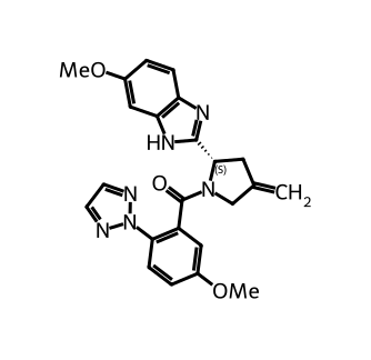 C=C1C[C@@H](c2nc3ccc(OC)cc3[nH]2)N(C(=O)c2cc(OC)ccc2-n2nccn2)C1